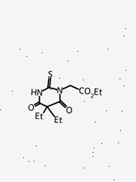 CCOC(=O)CN1C(=O)C(CC)(CC)C(=O)NC1=S